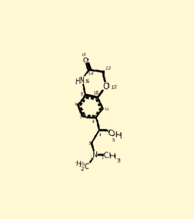 [CH2]N(C)CC(O)c1ccc2c(c1)OCC(=O)N2